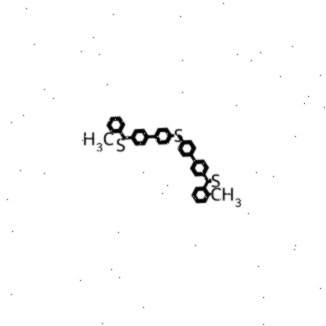 Cc1ccccc1C(=S)c1ccc(-c2ccc(Sc3ccc(-c4ccc(C(=S)c5ccccc5C)cc4)cc3)cc2)cc1